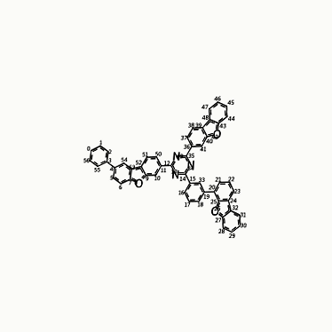 c1ccc(-c2ccc3oc4cc(-c5nc(-c6cccc(-c7cccc8c7oc7ccccc78)c6)nc(-c6ccc7c(c6)oc6ccccc67)n5)ccc4c3c2)cc1